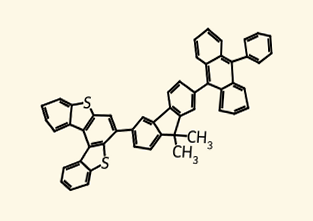 CC1(C)c2ccc(-c3cc4sc5ccccc5c4c4c3sc3ccccc34)cc2-c2ccc(-c3c4ccccc4c(-c4ccccc4)c4ccccc34)cc21